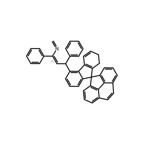 C=N/C(=C\C(c1ccccc1)c1cccc2c1C1=C(CCC=C1)C21c2cccc3ccc4cccc1c4c23)c1ccccc1